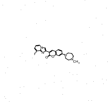 CN1CCCN(c2ccc3cc(-c4cn5cccc(F)c5n4)c(=O)oc3c2)CC1